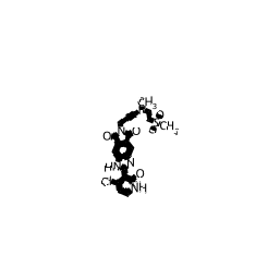 CN(C#CCN1C(=O)c2cc3nc(-c4c(Cl)cc[nH]c4=O)[nH]c3cc2C1=O)CCS(C)(=O)=O